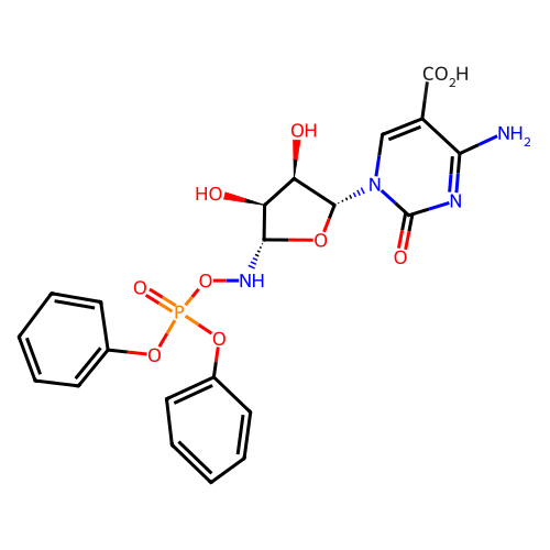 Nc1nc(=O)n([C@@H]2O[C@H](NOP(=O)(Oc3ccccc3)Oc3ccccc3)[C@@H](O)[C@H]2O)cc1C(=O)O